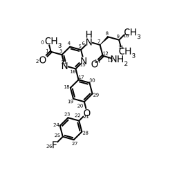 CC(=O)c1cc(N[C@@H](CC(C)C)C(N)=O)nc(-c2ccc(Oc3ccc(F)cc3)cc2)n1